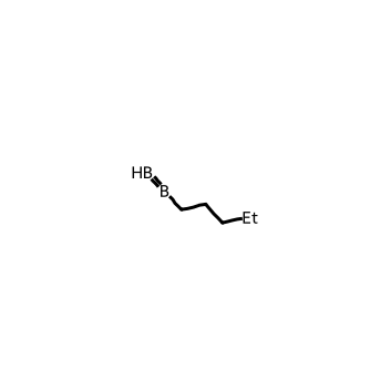 B=BCCCCC